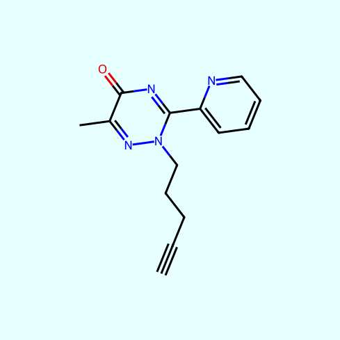 C#CCCCn1nc(C)c(=O)nc1-c1ccccn1